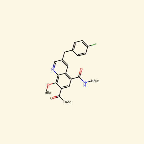 CCCCOc1c(C(=O)OC)cc(C(=O)NNC)c2cc(Cc3ccc(F)cc3)cnc12